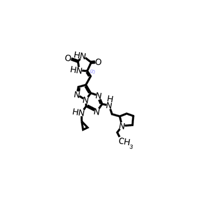 CCN1CCCC1CNc1nc(NC2CC2)n2ncc(/C=C3\NC(=O)NC3=O)c2n1